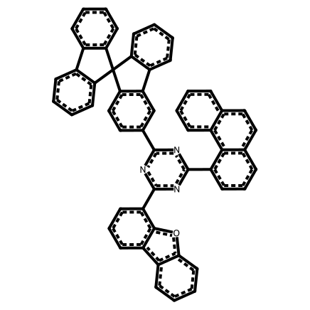 c1ccc2c(c1)-c1ccccc1C21c2ccccc2-c2cc(-c3nc(-c4cccc5c4oc4ccccc45)nc(-c4cccc5ccc6ccccc6c45)n3)ccc21